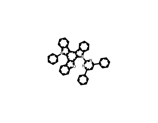 c1ccc(-c2cc(-c3ccccc3)nc(-n3c4ccccc4c4c5c6ccccc6n(-c6ccccc6)c5c5c6ccccc6oc5c43)n2)cc1